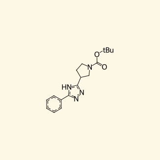 CC(C)(C)OC(=O)N1CCC(c2nnc(-c3ccccc3)[nH]2)C1